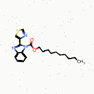 CCCCCCCCCCOC(=O)n1c(-c2cscn2)nc2ccccc21